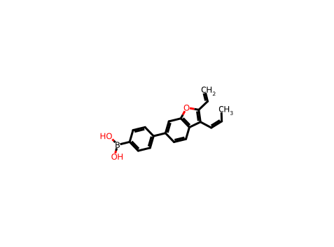 C=Cc1oc2cc(-c3ccc(B(O)O)cc3)ccc2c1/C=C\C